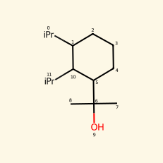 CC(C)C1CCCC(C(C)(C)O)C1C(C)C